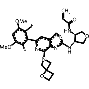 C=CC(=O)N[C@H]1COC[C@H]1Nc1ncc2cc(-c3c(F)c(OC)cc(OC)c3F)nc(N3CC4(CCO4)C3)c2n1